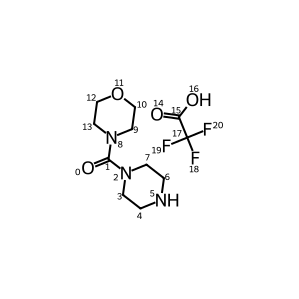 O=C(N1CCNCC1)N1CCOCC1.O=C(O)C(F)(F)F